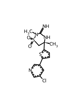 CN1C(=N)N[C@](C)(c2ccc(-c3cncc(Cl)c3)s2)CS1(=O)=O